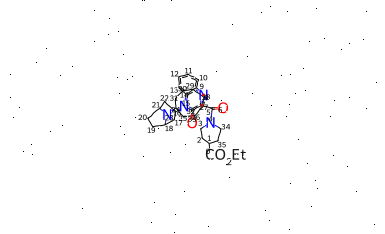 CCOC(=O)C1CCN(C(=O)c2nc3ccccc3n(C3CC4CCC(C3)N4C3CCCCCCC3)c2=O)CC1